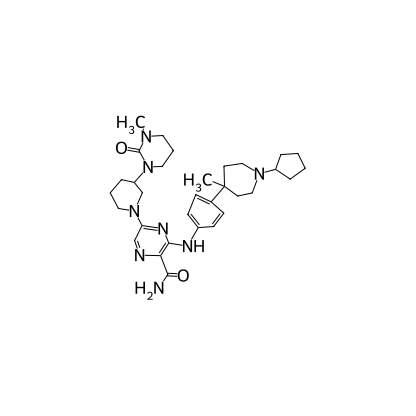 CN1CCCN(C2CCCN(c3cnc(C(N)=O)c(Nc4ccc(C5(C)CCN(C6CCCC6)CC5)cc4)n3)C2)C1=O